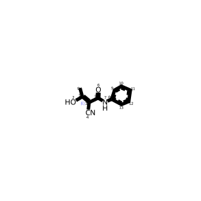 C/C(O)=C(/C#N)C(=O)Nc1ccccc1